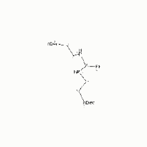 CCCCCCCCCCCCPC(CC)PCCCCCCCCCCCC